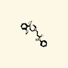 COc1ccccc1[N+]1(OC)CCN(CCC(=O)Nc2ccccc2)CC1